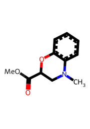 COC(=O)C1CN(C)c2ccccc2O1